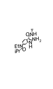 CCN(C(=O)C(C)C)c1ccc2c(C(=O)NC3CC3)c(N)[nH]c2c1